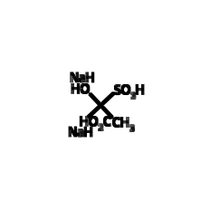 CC(O)(C(=O)O)S(=O)(=O)O.[NaH].[NaH]